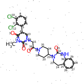 Cn1c(=O)c(-c2cccc(Cl)c2Cl)cn(CC(=O)N2CCC(N3CCc4ccccc4NC3=O)CC2)c1=O